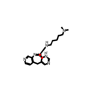 CN(C)CCCCCNC1=NC2=Nc3cnccc3CC3=CN=CNC32C=C1